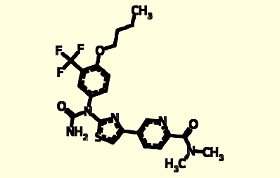 CCCCOc1ccc(N(C(N)=O)c2nc(-c3ccc(C(=O)N(C)C)nc3)cs2)cc1C(F)(F)F